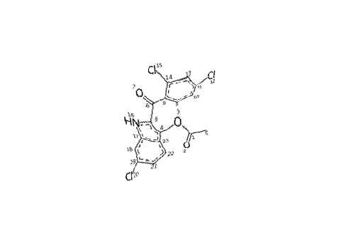 CC(=O)Oc1c(C(=O)c2ccc(Cl)cc2Cl)[nH]c2cc(Cl)ccc12